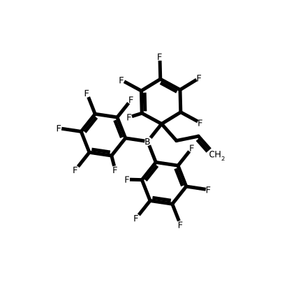 C=CCC1(B(c2c(F)c(F)c(F)c(F)c2F)c2c(F)c(F)c(F)c(F)c2F)C(F)=C(F)C(F)=C(F)C1F